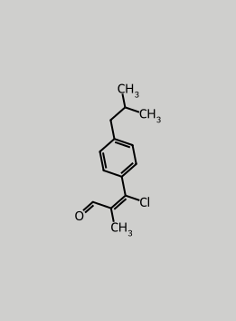 CC(C=O)=C(Cl)c1ccc(CC(C)C)cc1